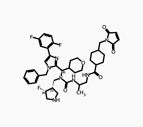 CC(CNC(=O)C1CCC(CN2C(=O)C=CC2=O)CC1)NC(=O)N(C[C@@H]1CNC[C@@H]1F)[C@@H](c1nc(-c2cc(F)ccc2F)cn1Cc1ccccc1)C1CCOCC1